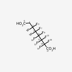 O=C(O)CC(F)(F)C(F)(F)C(F)(F)C(F)(F)C(F)(F)C(=O)O